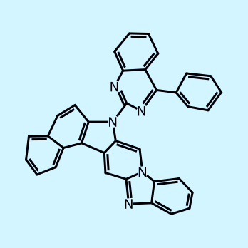 c1ccc(-c2nc(-n3c4cn5c(cc4c4c6ccccc6ccc43)nc3ccccc35)nc3ccccc23)cc1